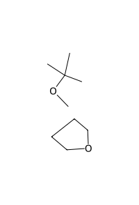 C1CCOC1.COC(C)(C)C